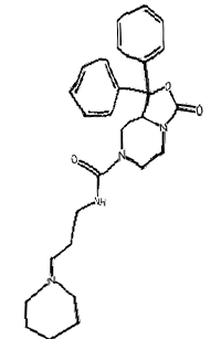 O=C(NCCCN1CCCCC1)N1CCN2C(=O)OC(c3ccccc3)(c3ccccc3)C2C1